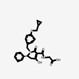 O=C(O)CNC(=O)C1=C(O)C[C@@H](c2ccccc2)N(Cc2ccc(OCC3CC3)cc2)C1=O